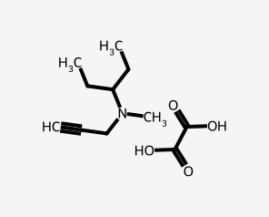 C#CCN(C)C(CC)CC.O=C(O)C(=O)O